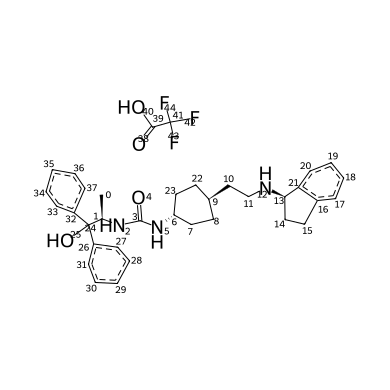 C[C@@H](NC(=O)N[C@H]1CC[C@H](CCN[C@@H]2CCc3ccccc32)CC1)C(O)(c1ccccc1)c1ccccc1.O=C(O)C(F)(F)F